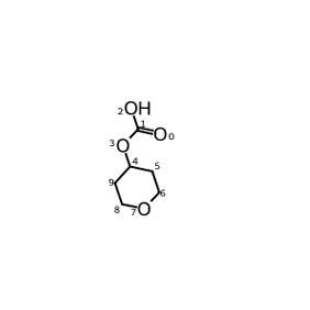 O=C(O)OC1CCOCC1